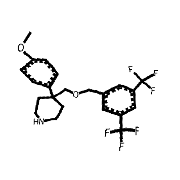 COc1ccc(C2(COCc3cc(C(F)(F)F)cc(C(F)(F)F)c3)CCNCC2)cc1